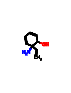 C=C[C@]1(N)C=CC=CC1O